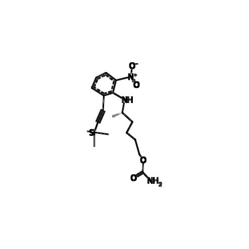 C[C@@H](CCCCOC(N)=O)Nc1c(C#C[Si](C)(C)C)cccc1[N+](=O)[O-]